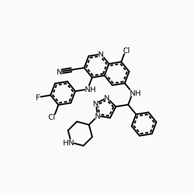 N#Cc1cnc2c(Cl)cc(NC(c3ccccc3)c3cn(C4CCNCC4)nn3)cc2c1Nc1ccc(F)c(Cl)c1